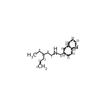 C=CCC(CC)CCNCc1ccc2ncccc2c1